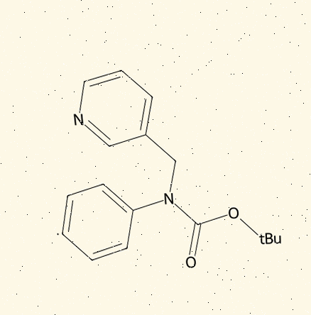 CC(C)(C)OC(=O)N(Cc1cccnc1)c1cc[c]cc1